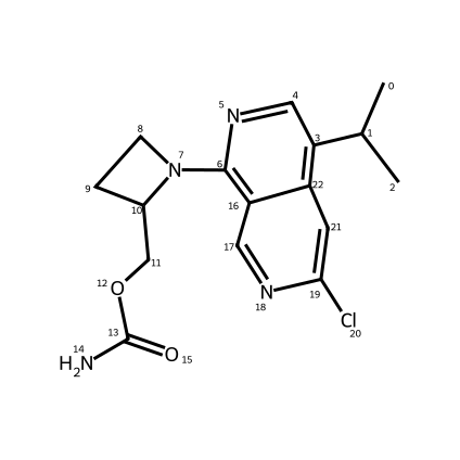 CC(C)c1cnc(N2CCC2COC(N)=O)c2cnc(Cl)cc12